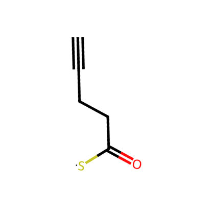 C#CCCC(=O)[S]